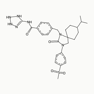 CC(C)C1CCC2(CC1)CN(c1ccc(S(C)(=O)=O)cc1)C(=O)N2Cc1ccc(C(=O)NC2=NNNN2)cc1